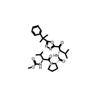 COC(=O)N[C@H](C(=O)N1CCC[C@H]1C(=O)N[C@H](C(=O)c1nnc(C(C)(C)c2ccccc2)o1)C(C)C)C(C)C